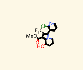 COC(=O)c1c(C(F)(F)F)c(-c2cccnc2Cl)n2c1C(O)CCC2